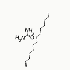 C=CCCCCCCCCCCCC.NC(N)=O